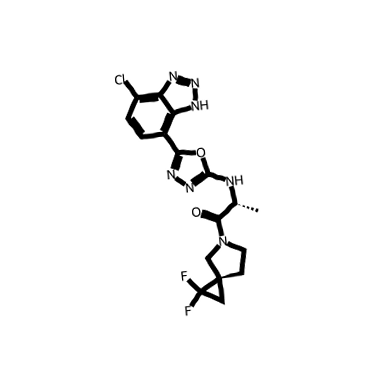 C[C@@H](Nc1nnc(-c2ccc(Cl)c3nn[nH]c23)o1)C(=O)N1CC[C@@]2(C1)CC2(F)F